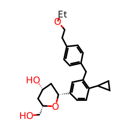 CCOCCc1ccc(Cc2cc([C@H]3C[C@@H](O)C[C@@H](CO)O3)ccc2C2CC2)cc1